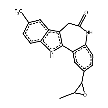 CC1OC1c1ccc2c(c1)-c1[nH]c3ccc(C(F)(F)F)cc3c1CC(=O)N2